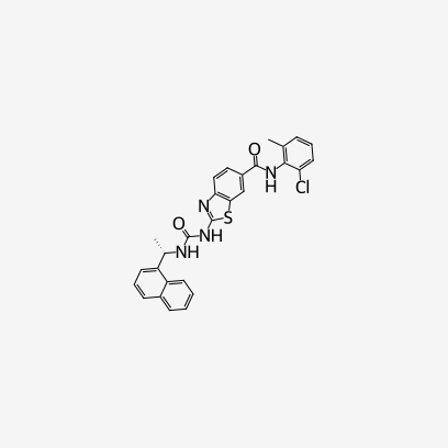 Cc1cccc(Cl)c1NC(=O)c1ccc2nc(NC(=O)N[C@@H](C)c3cccc4ccccc34)sc2c1